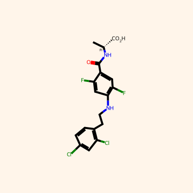 C[C@@H](NC(=O)c1cc(F)c(NCCc2ccc(Cl)cc2Cl)cc1F)C(=O)O